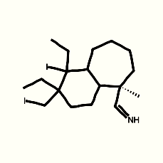 CCC1(CI)CCC2C(CCCC[C@@]2(C)C=N)C1(I)CC